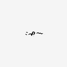 CCCN(CCC)CCc1c[nH]c2cc(OC(=O)CCCCC(=O)O)ccc12